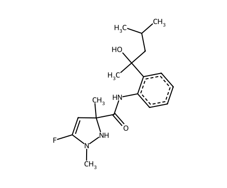 CC(C)CC(C)(O)c1ccccc1NC(=O)C1(C)C=C(F)N(C)N1